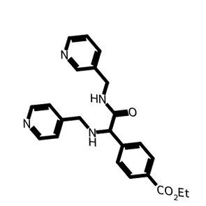 CCOC(=O)c1ccc(C(NCc2ccncc2)C(=O)NCc2cccnc2)cc1